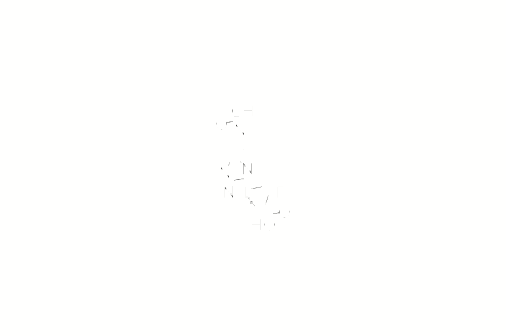 CC(=O)N1CCCC(c2cnc(N)c(-c3ccc(C(=O)O)c(F)c3)n2)C1